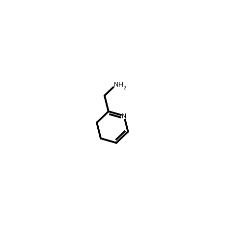 NCC1=NC=CCC1